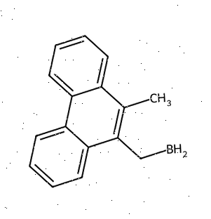 BCc1c(C)c2ccccc2c2ccccc12